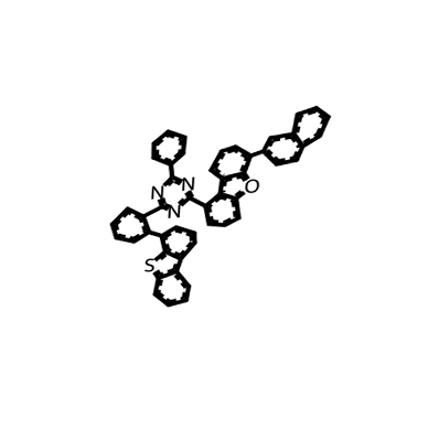 c1ccc(-c2nc(-c3ccccc3-c3cccc4c3sc3ccccc34)nc(-c3cccc4oc5c(-c6ccc7ccccc7c6)cccc5c34)n2)cc1